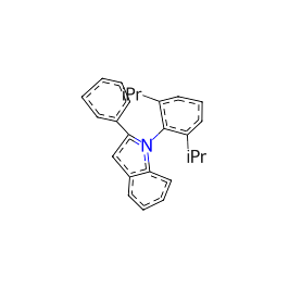 CC(C)c1cccc(C(C)C)c1-n1c(-c2ccccc2)cc2ccccc21